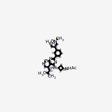 C=C/C(=C\N(C)C)c1cccc(-c2ncc(C(/C=N\C)=C/C(=C)C)c(N[C@H]3C[C@@H](NC(C)=O)C3)n2)c1